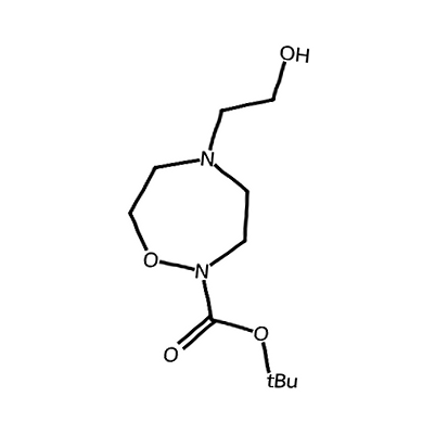 CC(C)(C)OC(=O)N1CCN(CCO)CCO1